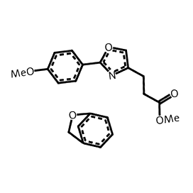 COC(=O)CCc1coc(-c2ccc(OC)cc2)n1.c1cc2cc(c1)OC2